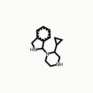 c1ccc2c(c1)CN[C]2N1CCNCC1C1CC1